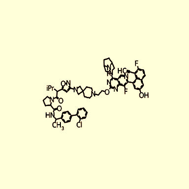 C#Cc1c(F)ccc2cc(O)cc(-c3ncc4c(N5CC6CCC(C5)N6)nc(OCCN5CCC6(CC5)CN(c5cc(C(C(=O)N7CCCC7C(=O)NC(C)c7ccc(-c8ccccc8Cl)cc7)C(C)C)on5)C6)nc4c3F)c12